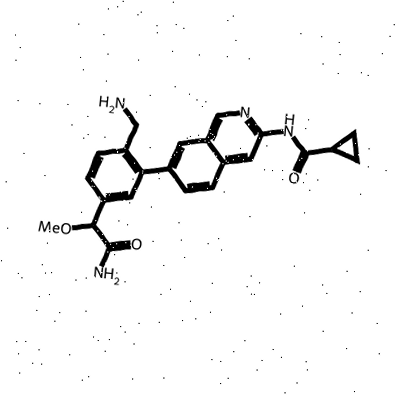 COC(C(N)=O)c1ccc(CN)c(-c2ccc3cc(NC(=O)C4CC4)ncc3c2)c1